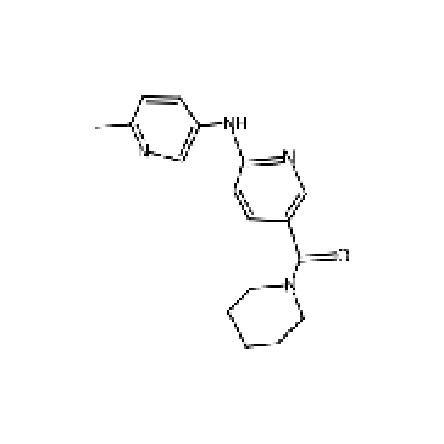 Cc1ccc(Nc2ccc(C(=O)N3CCCCC3)cn2)cn1